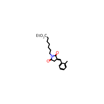 CCOC(=O)CCCCCCN1C(=O)C/C(=C\c2ccccc2C)C1=O